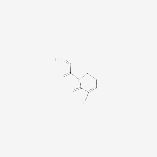 C=CC(=O)N1CCC=C(Br)C1=O